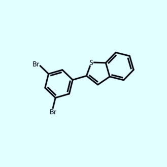 Brc1cc(Br)cc(-c2cc3ccccc3s2)c1